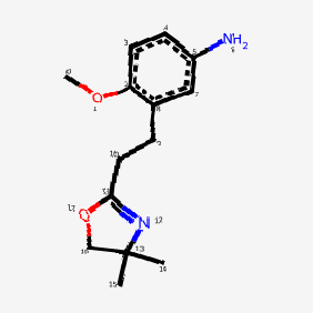 COc1ccc(N)cc1CCC1=NC(C)(C)CO1